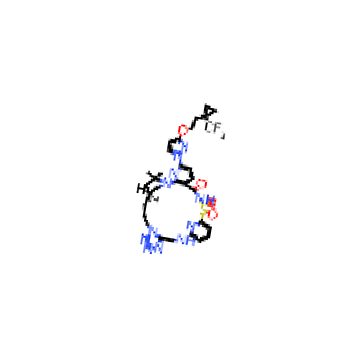 CC1(C)C[C@@H]2CCCn3nnnc3CNc3cccc(n3)S(=O)(=O)NC(=O)c3ccc(-n4ccc(OCCC5(C(F)(F)F)CC5)n4)nc3N1C2